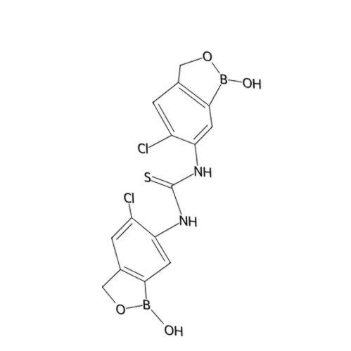 OB1OCc2cc(Cl)c(NC(=S)Nc3cc4c(cc3Cl)COB4O)cc21